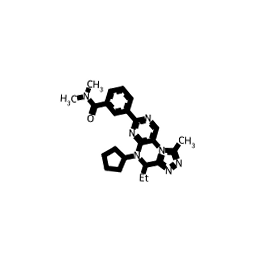 CCC1c2nnc(C)n2-c2cnc(-c3cccc(C(=O)N(C)C)c3)nc2N1C1CCCC1